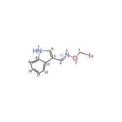 ICO/N=C/c1c[nH]c2ccccc12